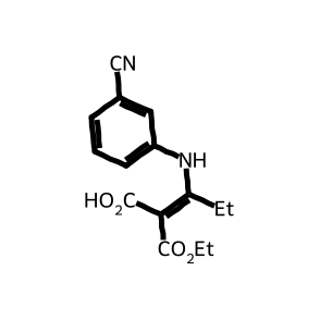 CCOC(=O)C(C(=O)O)=C(CC)Nc1cccc(C#N)c1